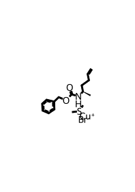 C=CCC[C@@H](C)NC(=O)OCc1ccccc1.CSC.[Br-].[Cu+]